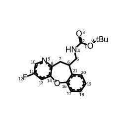 CC(C)(C)OC(=O)NCC1Cc2ncc(F)cc2Oc2ccccc21